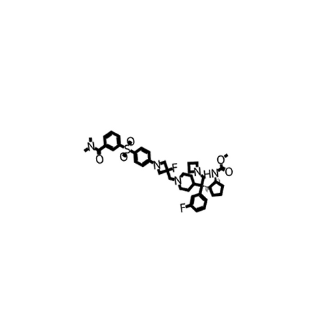 COC(=O)N[C@H]1CCC[C@@H]1C(CN1CCC1)(c1cccc(F)c1)C1CCN(CC2(F)CN(c3ccc(S(=O)(=O)c4cccc(C(=O)N(C)C)c4)cc3)C2)CC1